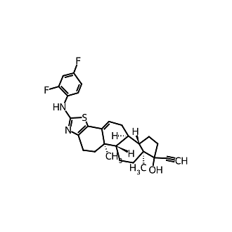 C#CC1(O)CC[C@H]2[C@@H]3CC=C4c5sc(Nc6ccc(F)cc6F)nc5CC[C@]4(C)[C@H]3CC[C@@]21C